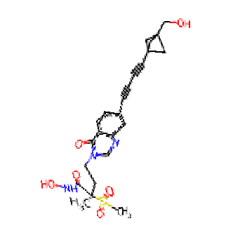 C[C@@](CCn1cnc2cc(C#CC#CC34CC(CO)(C3)C4)ccc2c1=O)(C(=O)NO)S(C)(=O)=O